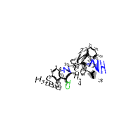 Cc1ccc2c(c(Cl)cn2CC(C)(C)c2c(C)[nH]c3ccccc23)c1C(C)(C)C